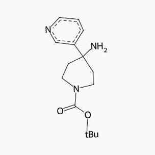 CC(C)(C)OC(=O)N1CCC(N)(c2cccnc2)CC1